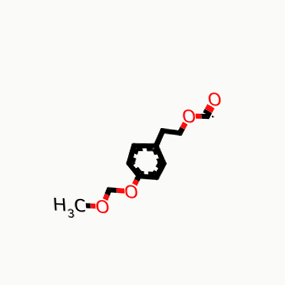 COCOc1ccc(CCO[C]=O)cc1